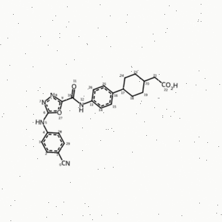 N#Cc1ccc(Nc2nnc(C(=O)Nc3ccc(C4CCC(CC(=O)O)CC4)cc3)o2)cc1